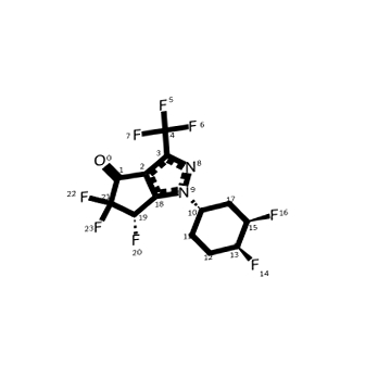 O=C1c2c(C(F)(F)F)nn([C@H]3CC[C@H](F)[C@H](F)C3)c2[C@H](F)C1(F)F